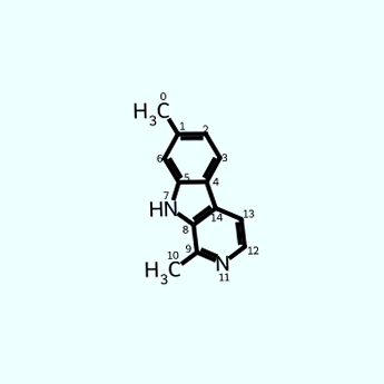 Cc1ccc2c(c1)[nH]c1c(C)nccc12